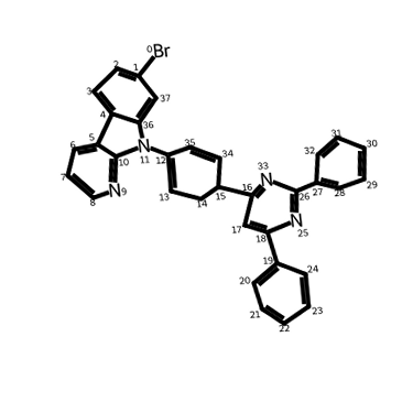 Brc1ccc2c3cccnc3n(C3=CCC(c4cc(-c5ccccc5)nc(-c5ccccc5)n4)C=C3)c2c1